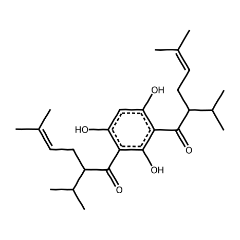 CC(C)=CCC(C(=O)c1c(O)cc(O)c(C(=O)C(CC=C(C)C)C(C)C)c1O)C(C)C